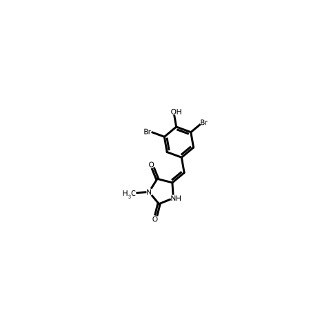 CN1C(=O)NC(=Cc2cc(Br)c(O)c(Br)c2)C1=O